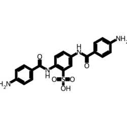 Nc1ccc(C(=O)Nc2ccc(NC(=O)c3ccc(N)cc3)c(S(=O)(=O)O)c2)cc1